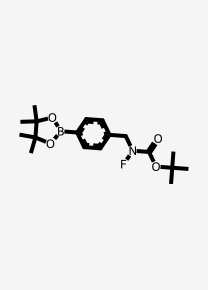 CC(C)(C)OC(=O)N(F)Cc1ccc(B2OC(C)(C)C(C)(C)O2)cc1